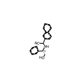 N#CC(N[C@H](CO)c1ccccc1)c1ccc2ccccc2c1